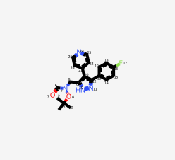 CC(C)(C)ON(C=O)Cc1[nH]nc(-c2ccc(F)cc2)c1-c1ccncc1